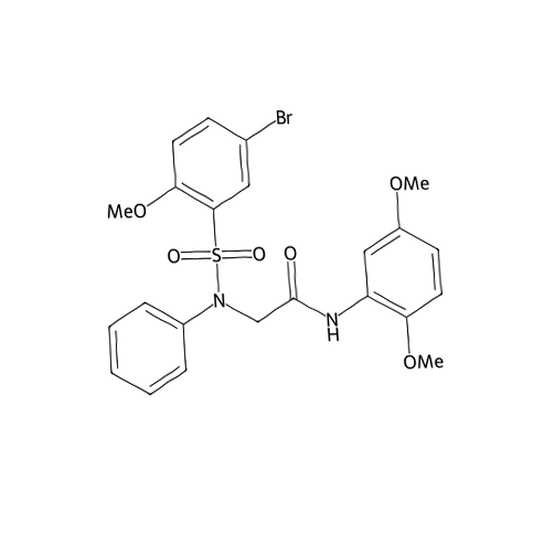 COc1ccc(OC)c(NC(=O)CN(c2ccccc2)S(=O)(=O)c2cc(Br)ccc2OC)c1